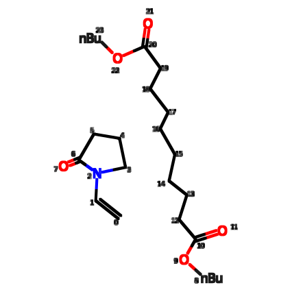 C=CN1CCCC1=O.CCCCOC(=O)CCCCCCCCC(=O)OCCCC